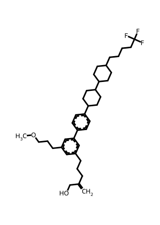 C=C(CO)CCCc1cc(CCCOC)cc(-c2ccc(C3CCC(C4CCC(CCCCC(F)(F)F)CC4)CC3)cc2)c1